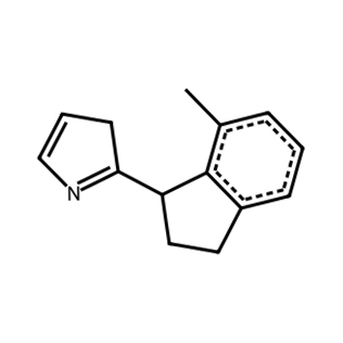 Cc1cccc2c1C(C1=NC=CC1)CC2